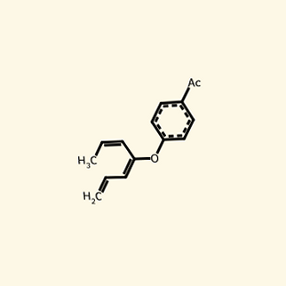 C=C/C=C(\C=C/C)Oc1ccc(C(C)=O)cc1